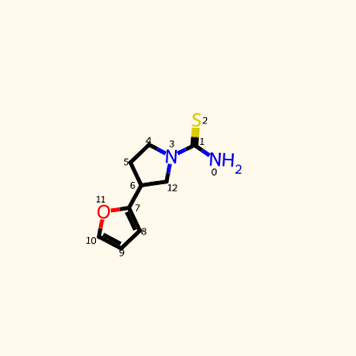 NC(=S)N1CCC(c2ccco2)C1